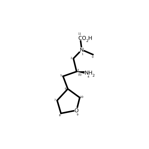 CN(C[C@@H](N)CC1CCOC1)C(=O)O